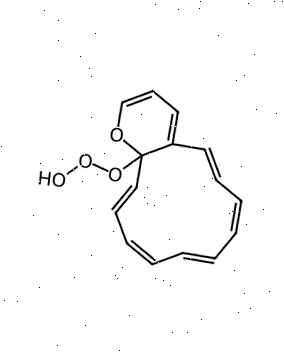 OOOC12/C=C/C=C\C=C\C=C/C=C/C1=CC=CO2